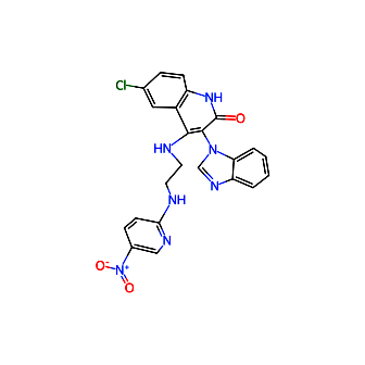 O=c1[nH]c2ccc(Cl)cc2c(NCCNc2ccc([N+](=O)[O-])cn2)c1-n1cnc2ccccc21